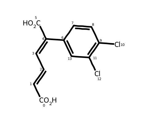 O=C(O)/C=C/C=C(/C(=O)O)c1ccc(Cl)c(Cl)c1